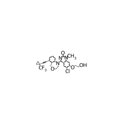 Cn1c(=O)nc(N2CCOCc3c(C#CC4(C(F)(F)F)CC4)cccc32)c2cc(Cl)c(OCCO)cc21